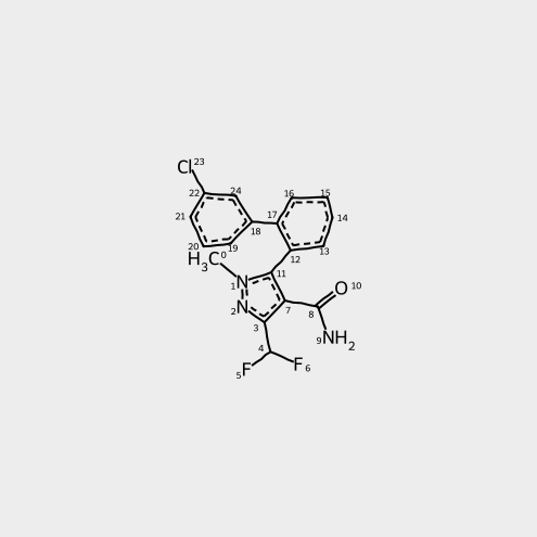 Cn1nc(C(F)F)c(C(N)=O)c1-c1ccccc1-c1cccc(Cl)c1